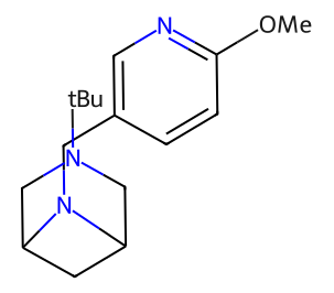 COc1ccc(CN2C3CC2CN(C(C)(C)C)C3)cn1